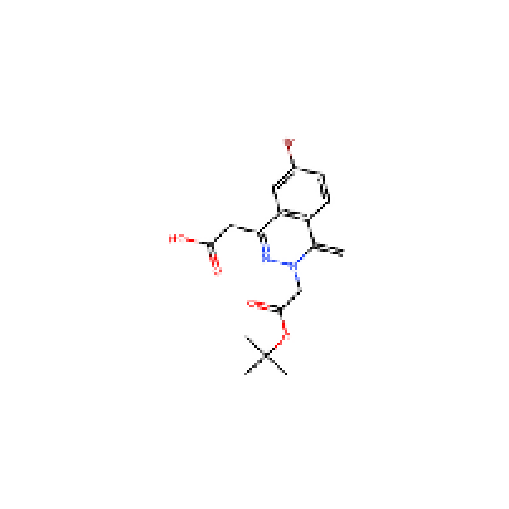 C=C1c2ccc(Br)cc2C(CC(=O)O)=NN1CC(=O)OC(C)(C)C